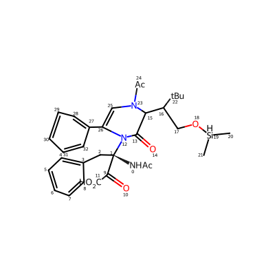 CC(=O)N[C@](Cc1ccccc1)(C(=O)C(=O)O)N1C(=O)C(C(CO[SiH](C)C)C(C)(C)C)N(C(C)=O)C=C1c1ccccc1